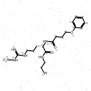 CC(C)C[CH]NC(=O)[C@H](CCCNC(=N)N[N+](=O)[O-])NC(=O)CCCOc1ccccc1